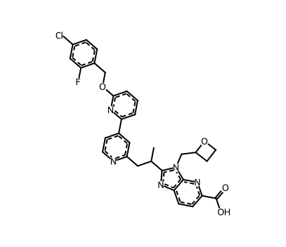 CC(Cc1cc(-c2cccc(OCc3ccc(Cl)cc3F)n2)ccn1)c1nc2ccc(C(=O)O)nc2n1CC1CCO1